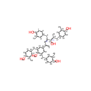 C=C(/C=C(Cc1ccc(O)c(C)c1)\C(O)=C(/C)Cc1ccc(O)c(C)c1)c1cc(Cc2ccc(O)c(C)c2)c(O)c(Cc2ccc(O)c(C)c2)c1